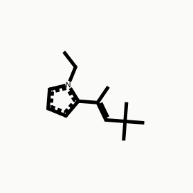 CCn1cccc1/C(C)=C/C(C)(C)C